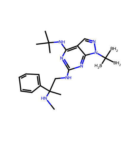 BC(B)(B)n1ncc2c(NC(C)(C)C)nc(NCC(C)(NC)c3ccccc3)nc21